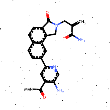 C=C(CN1Cc2c(ccc3ccc(-c4cc(C(=O)NC)c(N)cn4)cc23)C1=O)C(N)=O